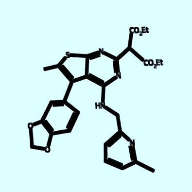 CCOC(=O)C(C(=O)OCC)c1nc(NCc2cccc(C)n2)c2c(-c3ccc4c(c3)OCO4)c(C)sc2n1